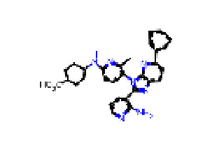 Cc1nc(NC2CCC(C(=O)O)CC2)ccc1-n1c(-c2cccnc2N)nc2ccc(-c3ccccc3)nc21